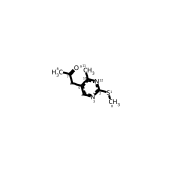 CSc1ncc(CC(C)=O)c(C)n1